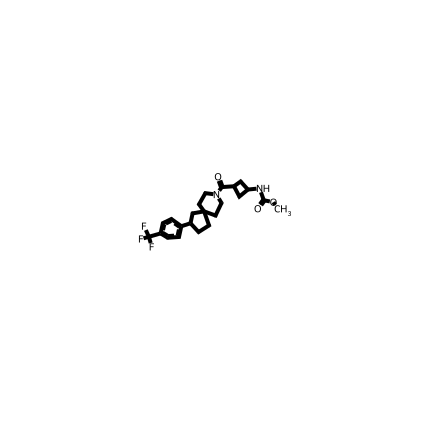 COC(=O)NC1CC(C(=O)N2CCC3(CCC(c4ccc(C(F)(F)F)cc4)C3)CC2)C1